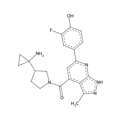 Cc1n[nH]c2nc(-c3ccc(O)c(F)c3)cc(C(=O)N3CCC(C4(N)CC4)C3)c12